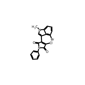 Cn1cc(C2=C(Cl)C(=O)N(c3ccccc3)C2=O)c2c(Br)cccc21